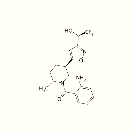 C[C@@H]1CC[C@@H](c2cc([C@@H](O)C(F)(F)F)no2)CN1C(=O)c1ccccc1N